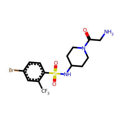 NCC(=O)N1CCC(NS(=O)(=O)c2ccc(Br)cc2C(F)(F)F)CC1